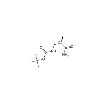 C[C@H](CNC(=O)OC(C)(C)C)C(N)=O